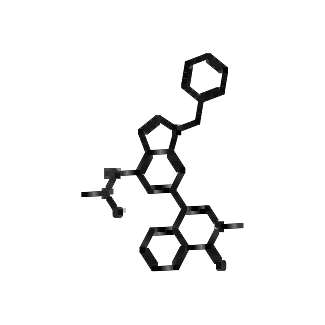 Cn1cc(-c2cc(N[S+](C)[O-])c3ccn(Cc4ccccc4)c3c2)c2ccccc2c1=O